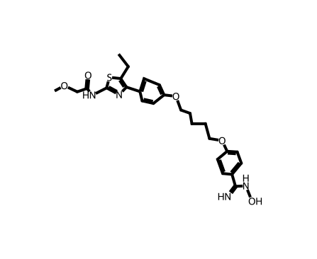 CCc1sc(NC(=O)COC)nc1-c1ccc(OCCCCCOc2ccc(C(=N)NO)cc2)cc1